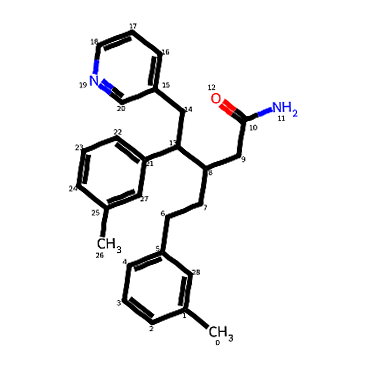 Cc1cccc(CC[C](CC(N)=O)C(Cc2cccnc2)c2cccc(C)c2)c1